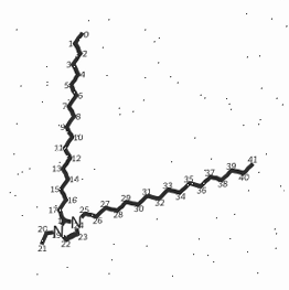 CCCCCCCCCCCCCCCCCCC1N(CC)C=CN1CCCCCCCCCCCCCCCCC